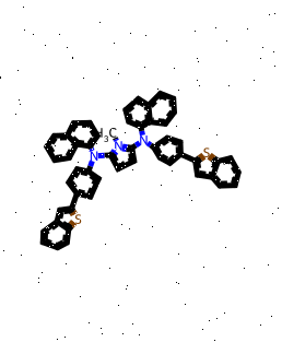 Cn1c(N(c2ccc(-c3cc4ccccc4s3)cc2)c2cccc3ccccc23)ccc1N(c1ccc(-c2cc3ccccc3s2)cc1)c1cccc2ccccc12